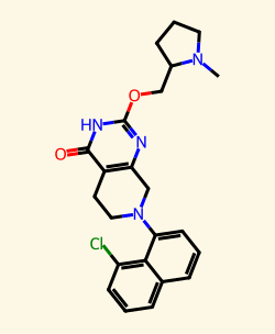 CN1CCCC1COc1nc2c(c(=O)[nH]1)CCN(c1cccc3cccc(Cl)c13)C2